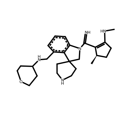 CNC1=C(C(=N)N2CC3(CCNCC3)c3c(CNC4CCOCC4)cccc32)[C@H](C)CC1